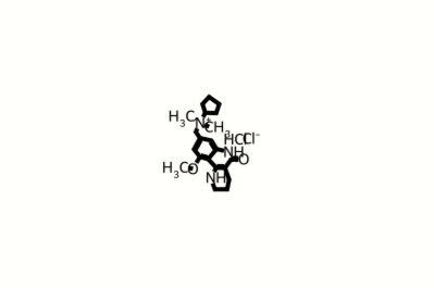 COc1cc(C[N+](C)(C)C2CCCC2)cc2[nH]c(=O)c3c(c12)NCCC3.Cl.[Cl-]